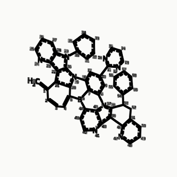 C=C1C=CC=C2B3c4c(cc(-c5ncccn5)cc4-n4c2c1c1c2ncccc2n(-c2ccccc2)c14)-n1c2c(c4nccc3c41)-c1ncccc1CC2c1ccccc1